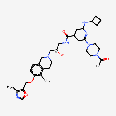 Cc1ncoc1COc1ccc2c(c1C)CCN(C[C@@H](O)CNC(=O)C1CC(N3CCN(C(=O)C(C)C)CC3)=NC(NC3CCC3)C1)C2